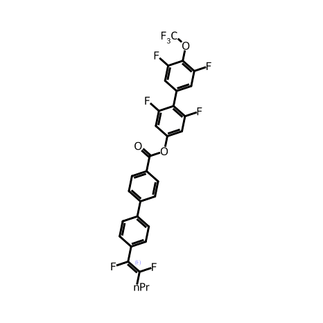 CCC/C(F)=C(\F)c1ccc(-c2ccc(C(=O)Oc3cc(F)c(-c4cc(F)c(OC(F)(F)F)c(F)c4)c(F)c3)cc2)cc1